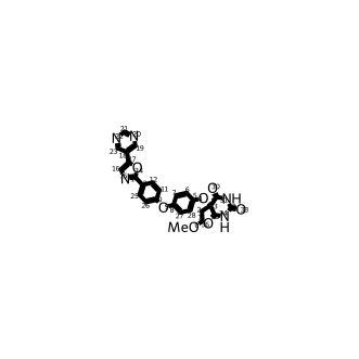 COCCC1(Oc2ccc(Oc3ccc(-c4ncc(-c5cncnc5)o4)cc3)cc2)C(=O)NC(=O)NC1=O